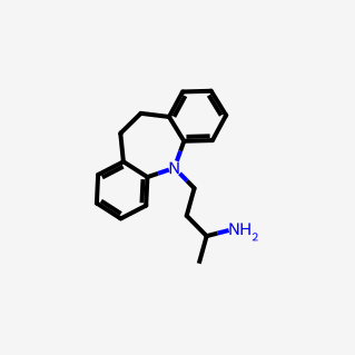 CC(N)CCN1c2ccccc2CCc2ccccc21